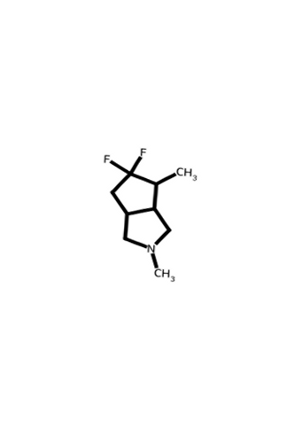 CC1C2CN(C)CC2CC1(F)F